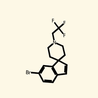 FC(F)(F)CN1CCC2(C=Cc3ccc(Br)cc32)CC1